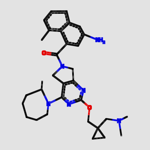 Cc1cccc2cc(N)cc(C(=O)N3Cc4nc(OCC5(CN(C)C)CC5)nc(N5CCCCCC5C)c4C3)c12